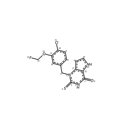 O=c1[nH]c(=S)n(Cc2ccc(Cl)c(OCF)c2)c2cc[nH]c12